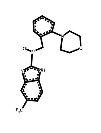 [O-][S+](Cc1ccccc1N1CCOCC1)c1nc2cc(C(F)(F)F)ccc2[nH]1